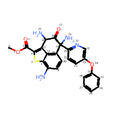 COC(=O)c1sc2c(N)ccc3c2c1C(N)C(=O)C3(N)c1ccc(Oc2ccccc2)cn1